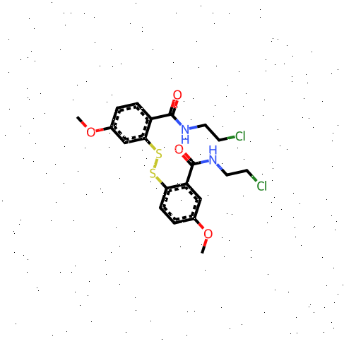 COc1ccc(C(=O)NCCCl)c(SSc2ccc(OC)cc2C(=O)NCCCl)c1